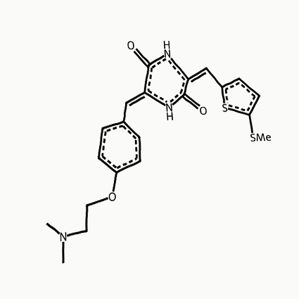 CSc1ccc(C=c2[nH]c(=O)c(=Cc3ccc(OCCN(C)C)cc3)[nH]c2=O)s1